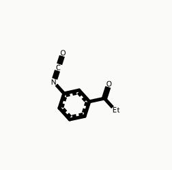 CCC(=O)c1cccc(N=C=O)c1